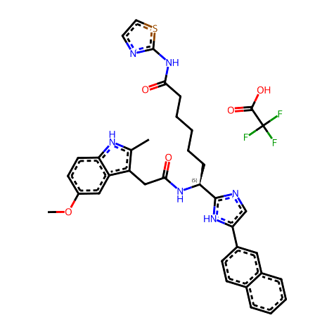 COc1ccc2[nH]c(C)c(CC(=O)N[C@@H](CCCCCC(=O)Nc3nccs3)c3ncc(-c4ccc5ccccc5c4)[nH]3)c2c1.O=C(O)C(F)(F)F